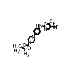 CC(C)(C)OC(=O)N1CCN(c2ccc(Nc3ncc(C(F)(F)F)c(Cl)n3)cc2)CC1